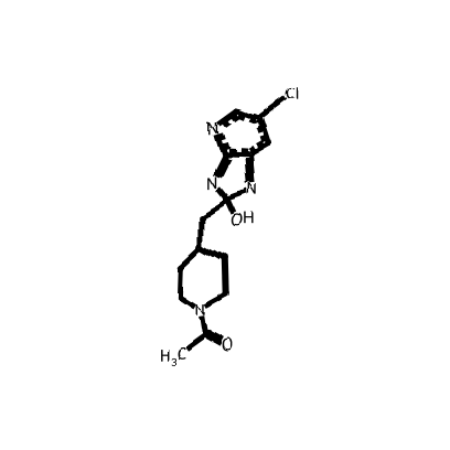 CC(=O)N1CCC(CC2(O)N=c3cc(Cl)cnc3=N2)CC1